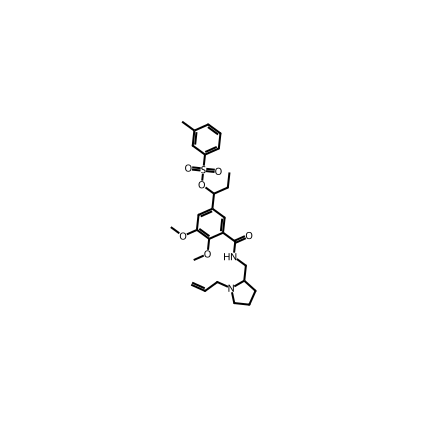 C=CCN1CCCC1CNC(=O)c1cc(C(CC)OS(=O)(=O)c2cccc(C)c2)cc(OC)c1OC